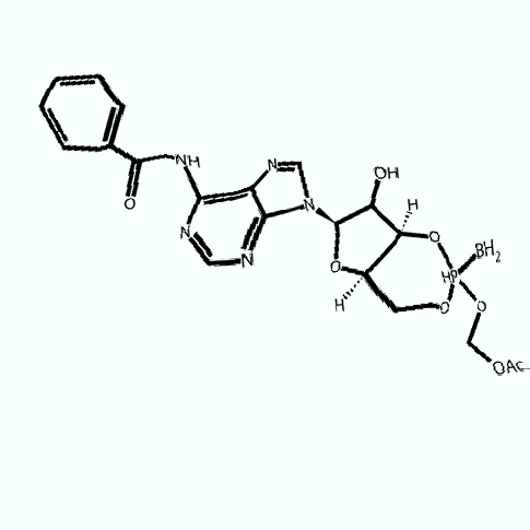 B[PH]1(OCOC(C)=O)OC[C@H]2O[C@@H](n3cnc4c(NC(=O)c5ccccc5)ncnc43)C(O)[C@H]2O1